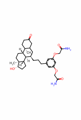 C[C@]12CC[C@H]3[C@@H]([C@H](CCCc4cc(OCC(N)=O)cc(OCC(N)=O)c4)CC4CC(=O)CC[C@@]43C)[C@@H]1CC[C@@H]2O